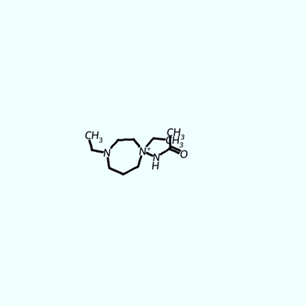 CCN1CCC[N+](CC)(NC(C)=O)CC1